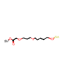 CC(C)(C)OC(=O)COCCCOCCCCCOS